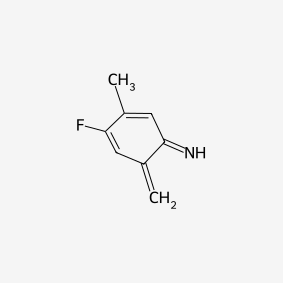 C=C1C=C(F)C(C)=CC1=N